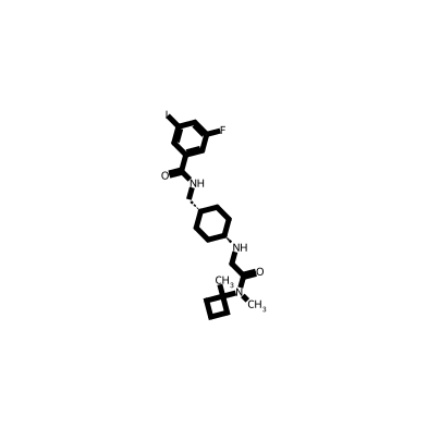 CN(C(=O)CN[C@H]1CC[C@@H](CNC(=O)c2cc(F)cc(I)c2)CC1)C1(C)CCC1